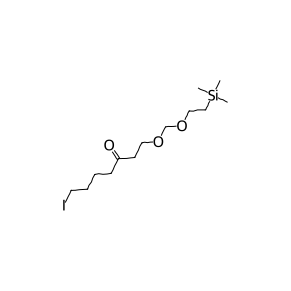 C[Si](C)(C)CCOCOCCC(=O)CCCCI